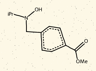 COC(=O)c1ccc(CN(O)C(C)C)cc1